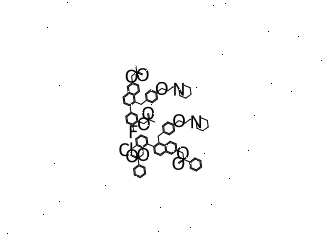 CC(=O)Oc1ccc2c(Cc3ccc(OCCN4CCCCC4)cc3)c(-c3ccc(F)c(OC(C)=O)c3)ccc2c1.O=C(Oc1ccc2c(Cc3ccc(OCCN4CCCCC4)cc3)c(-c3cccc(Cl)c3OC(=O)c3ccccc3)ccc2c1)c1ccccc1